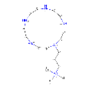 CC[N+](CC)(CC)CCCN1CCNCCNCCNCCNCC1